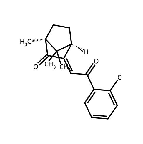 CC1(C)[C@H]2CC[C@]1(C)C(=O)/C2=C/C(=O)c1ccccc1Cl